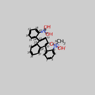 C[N+]([O-])(O)c1ccccc1-c1ccc(-c2ccccc2N(O)O)c2ccccc12